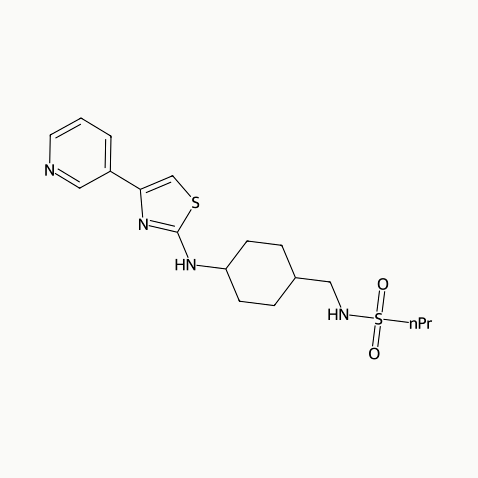 CCCS(=O)(=O)NCC1CCC(Nc2nc(-c3cccnc3)cs2)CC1